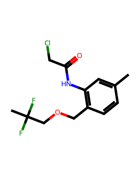 Cc1ccc(COCC(C)(F)F)c(NC(=O)CCl)c1